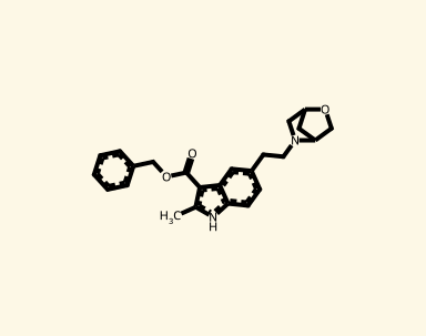 Cc1[nH]c2ccc(CCN3CC4CC3CO4)cc2c1C(=O)OCc1ccccc1